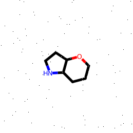 [CH]1CNC2CCCOC12